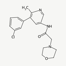 Cc1ncc(NC(=O)CN2CCOCC2)cc1-c1cccc(Cl)c1